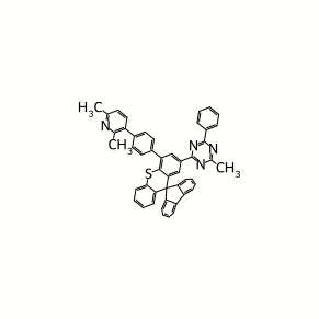 Cc1ccc(-c2ccc(-c3cc(-c4nc(C)nc(-c5ccccc5)n4)cc4c3Sc3ccccc3C43c4ccccc4-c4ccccc43)cc2)c(C)n1